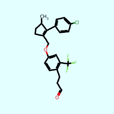 CC1CCC(COc2ccc(CCC=O)c(C(F)(F)F)c2)=C1c1ccc(Cl)cc1